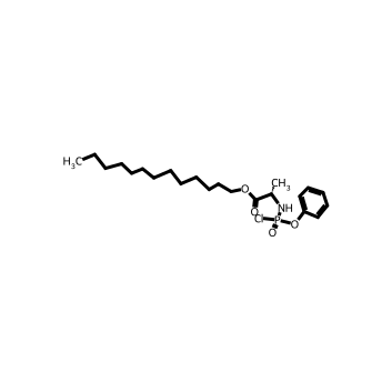 CCCCCCCCCCCCCOC(=O)[C@H](C)NP(=O)(Cl)Oc1ccccc1